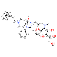 CN(CCCN1CN(c2ccccc2)C2(CCN(CCC3CCC4CC3C4(C)C)CC2)C1=O)C(c1ccco1)[C@H](O)[C@@H](O)[C@H](O)CO